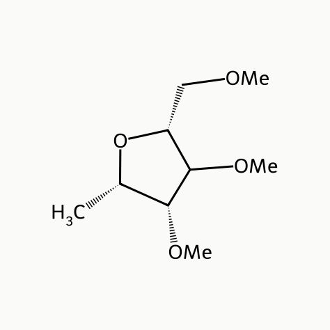 COC[C@H]1O[C@@H](C)[C@@H](OC)C1OC